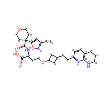 Cc1cc(C2(C(=O)NC(CCOC3CC(CCc4ccc5c(n4)NCCC5)C3)C(=O)O)CCOCC2)on1